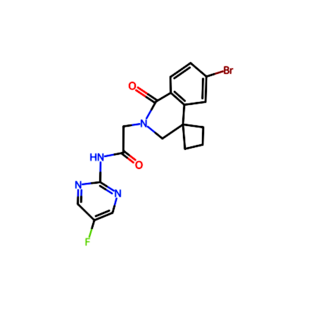 O=C(CN1CC2(CCC2)c2cc(Br)ccc2C1=O)Nc1ncc(F)cn1